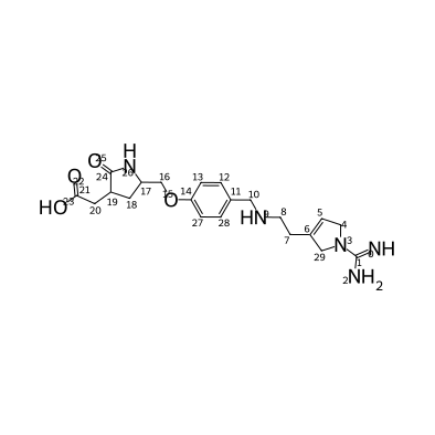 N=C(N)N1CC=C(CCNCc2ccc(OCC3CC(CC(=O)O)C(=O)N3)cc2)C1